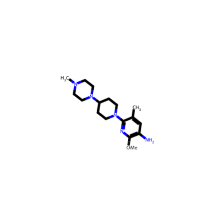 COc1nc(N2CCC(N3CCN(C)CC3)CC2)c(C)cc1N